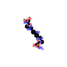 COCC[C@H](NC(=O)OC)C(=O)N1CCC[C@H]1c1ncc(-c2ccc3c(c2)[nH]c2cc(-c4cnc([C@@H]5CCCN5C(=O)[C@H](CCOC)OC(N)=O)[nH]4)ccc23)[nH]1